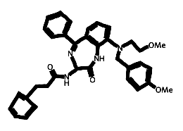 COCCN(Cc1ccc(OC)cc1)c1cccc2c1NC(=O)C(NC(=O)CCc1ccccc1)N=C2c1ccccc1